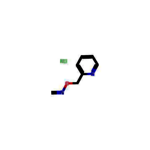 C=NOCc1ccccn1.Cl